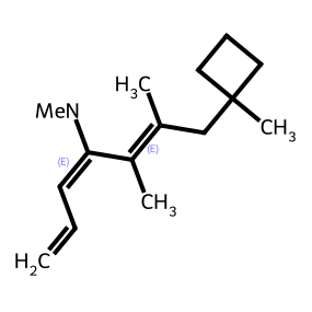 C=C/C=C(NC)\C(C)=C(/C)CC1(C)CCC1